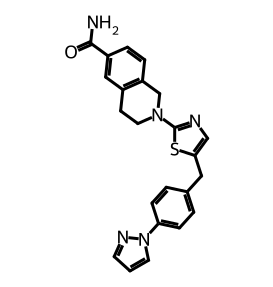 NC(=O)c1ccc2c(c1)CCN(c1ncc(Cc3ccc(-n4cccn4)cc3)s1)C2